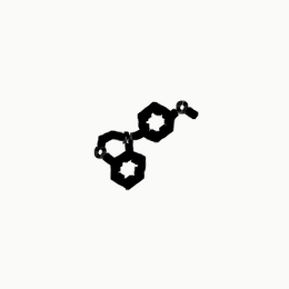 COc1ccc(N2CCOc3c[c]ccc32)cc1